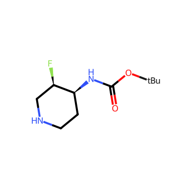 CC(C)(C)OC(=O)N[C@H]1CCNC[C@H]1F